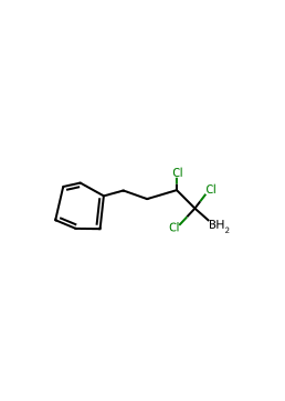 BC(Cl)(Cl)C(Cl)CCc1ccccc1